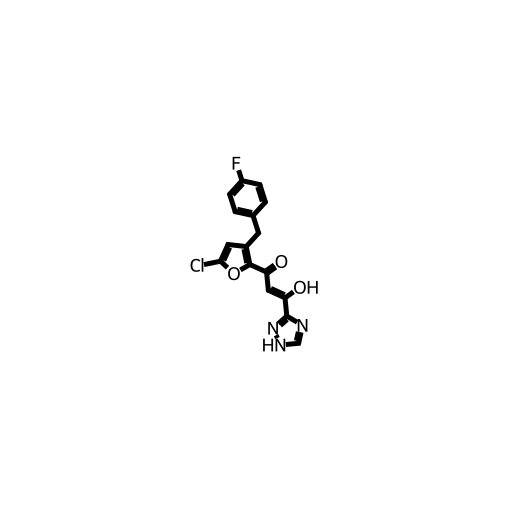 O=C(C=C(O)c1nc[nH]n1)c1oc(Cl)cc1Cc1ccc(F)cc1